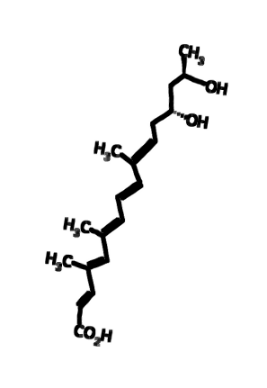 CC(=C\C=C\C(C)=C\C[C@@H](O)C[C@@H](C)O)/C=C(C)/C=C/C(=O)O